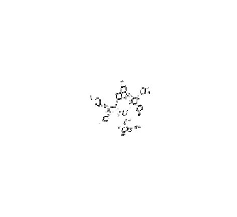 [K+].[O]=[Cr](=[O])([O-])[O][Cr](=[O])(=[O])[O-].[Os+4]